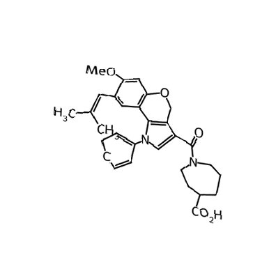 COc1cc2c(cc1C=C(C)C)-c1c(c(C(=O)N3CCCC(C(=O)O)CC3)cn1C1=CCCC=C1)CO2